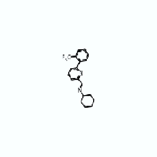 FC(F)(F)c1ccccc1-c1cccc(/C=N/C2CCCCC2)n1